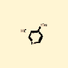 CC(C)(C)c1ccncc1.Cl